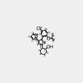 OC1CCCCC1n1cc(-n2cccn2)c(-c2cc(Cl)ccc2OC(F)F)n1